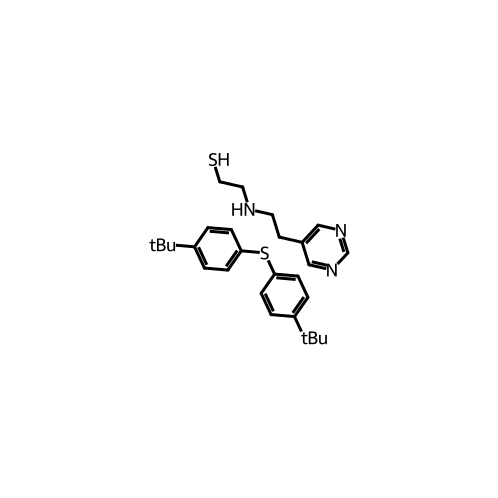 CC(C)(C)c1ccc(Sc2ccc(C(C)(C)C)cc2)cc1.SCCNCCc1cncnc1